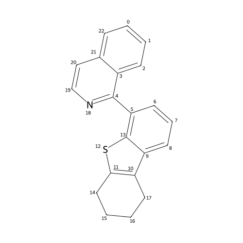 c1ccc2c(-c3cccc4c5c(sc34)CCCC5)nccc2c1